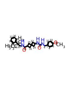 COc1ccc(CNC(=O)NC2CC3(C2)CC(C(=O)NCC(C)(C)c2ccccc2C)C3)cc1